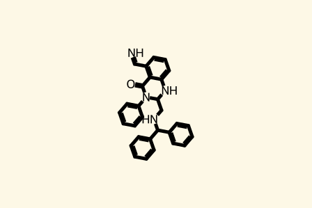 N=Cc1cccc2c1C(=O)N(c1ccccc1)C(CNC(c1ccccc1)c1ccccc1)N2